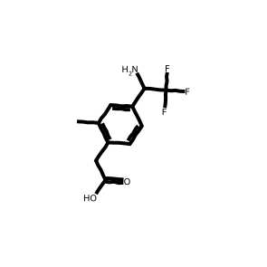 Cc1cc(C(N)C(F)(F)F)ccc1CC(=O)O